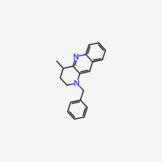 CC1CCN(Cc2ccccc2)c2cc3ccccc3nc21